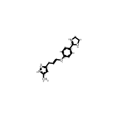 Cc1cc(CC=COc2ccc(C3=NCCO3)cc2)on1